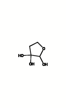 OC1OCCC1(O)O